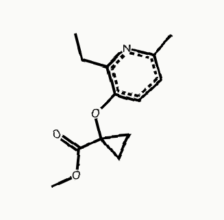 CCc1nc(C)ccc1OC1(C(=O)OC)CC1